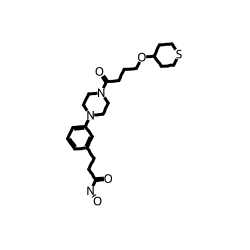 O=NC(=O)CCc1cccc(N2CCN(C(=O)CCCOC3CCSCC3)CC2)c1